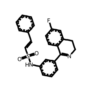 O=S(=O)(C=Cc1ccccc1)Nc1cccc(C2=NCCc3cc(F)ccc32)c1